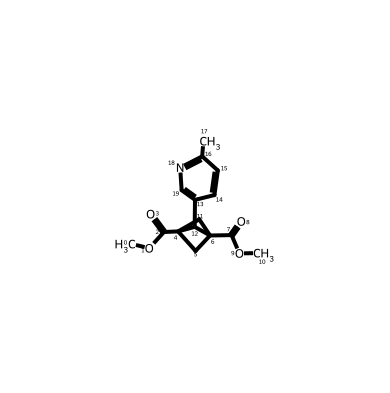 COC(=O)C12CC(C(=O)OC)(C1)C2c1ccc(C)nc1